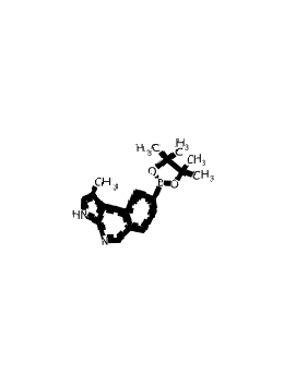 Cc1c[nH]c2ncc3ccc(B4OC(C)(C)C(C)(C)O4)cc3c12